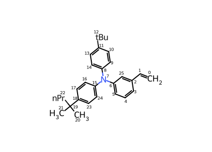 C=Cc1cccc(N(c2ccc(C(C)(C)C)cc2)c2ccc(C(C)(C)CCC)cc2)c1